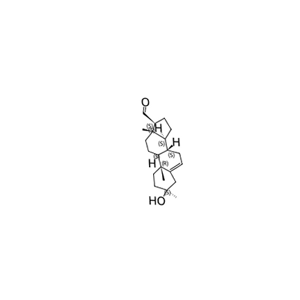 C[C@]1(O)CC[C@@]2(C)C(=CC[C@H]3[C@@H]4CC[C@H](C=O)[C@@]4(C)CC[C@@H]32)C1